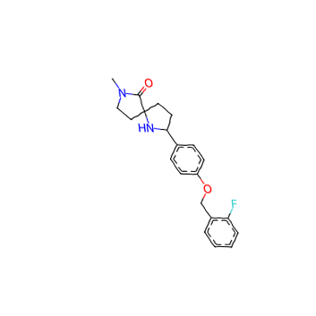 CN1CCC2(CCC(c3ccc(OCc4ccccc4F)cc3)N2)C1=O